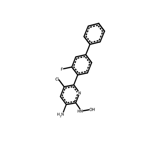 Nc1cc(Cl)c(-c2ccc(-c3ccccc3)cc2F)nc1NO